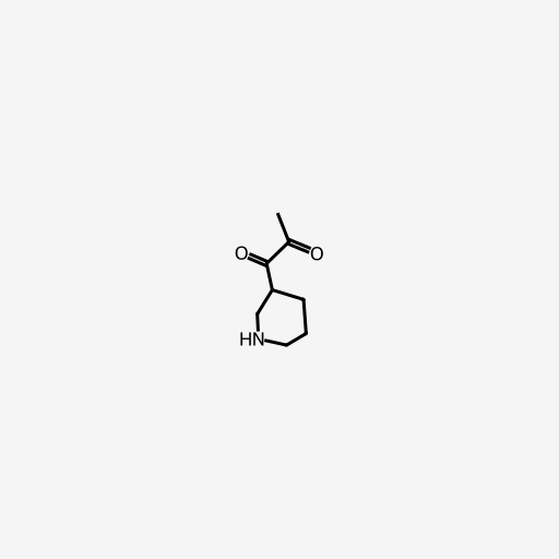 CC(=O)C(=O)C1CCCNC1